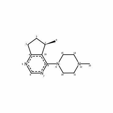 C[C@@H]1CCc2ncnc(N3CCN(C)CC3)c21